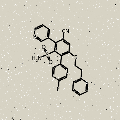 N#Cc1cc(SCCc2ccccc2)c(-c2ccc(F)cc2)c(S(N)(=O)=O)c1-c1cccnc1